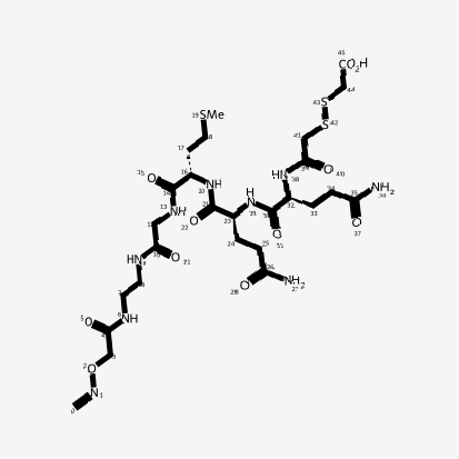 C=NOCC(=O)NCCNC(=O)CNC(=O)[C@H](CCSC)NC(=O)[C@H](CCC(N)=O)NC(=O)[C@H](CCC(N)=O)NC(=O)CSSCC(=O)O